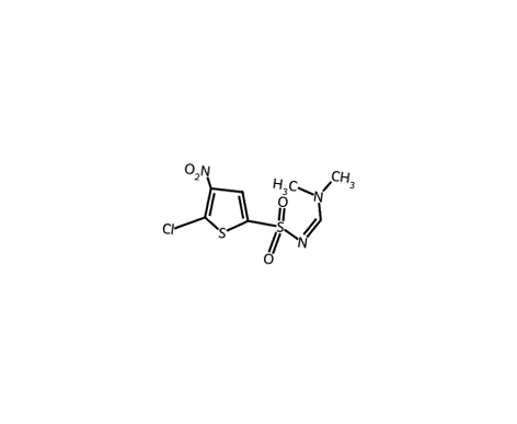 CN(C)/C=N\S(=O)(=O)c1cc([N+](=O)[O-])c(Cl)s1